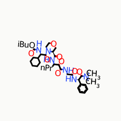 CCCC(NC(=O)[C@@H]1COCCN1C(=O)[C@@H](NC(=O)OCC(C)C)C1CCCCC1)C(=O)C(=O)NCC(=O)N[C@H](C(=O)N(C)C)c1ccccc1